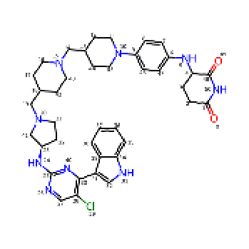 O=C1CCC(Nc2ccc(N3CCC(CN4CCC(CN5CC[C@@H](Nc6ncc(Cl)c(-c7c[nH]c8ccccc78)n6)C5)CC4)CC3)cc2)C(=O)N1